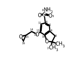 CC1(C)Cc2cc(S(N)(=O)=O)cc(OCC3CO3)c2O1